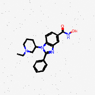 CCN1CCCC(n2c(-c3ccccc3)nc3cc(C(=O)NO)ccc32)C1